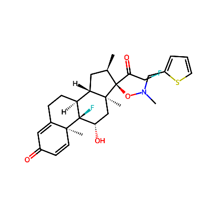 C[C@@H]1C[C@H]2[C@@H]3CCC4=CC(=O)C=C[C@]4(C)[C@@]3(F)[C@@H](O)C[C@]2(C)[C@@]1(ON(C)Cc1cccs1)C(=O)CF